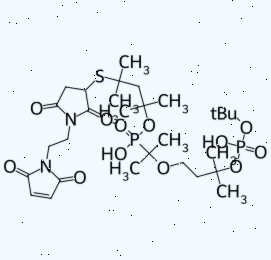 CC(C)(C)OP(=O)(O)OC(C)(C)CCOC(C)(C)P(=O)(O)OC(C)(C)CC(C)(C)SC1CC(=O)N(CCN2C(=O)C=CC2=O)C1=O